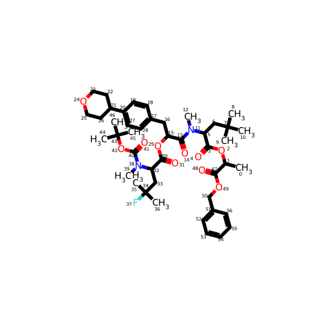 CC(OC(=O)C(CC(C)(C)C)N(C)C(=O)C(Cc1ccc(C2CCOCC2)cc1)OC(=O)C(CC(C)(C)F)N(C)C(=O)OC(C)(C)C)C(=O)OCc1ccccc1